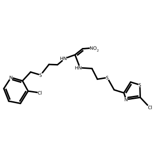 O=[N+]([O-])C=C(NCCSCc1csc(Cl)n1)NCCSCc1ncccc1Cl